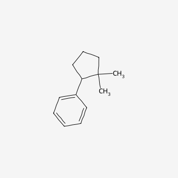 CC1(C)CCCC1c1ccccc1